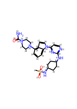 CS(=O)(=O)NC1CCC(Nc2nccc(-n3ccc4c(N5CCN(C(N)=O)CC5)cccc43)n2)CC1